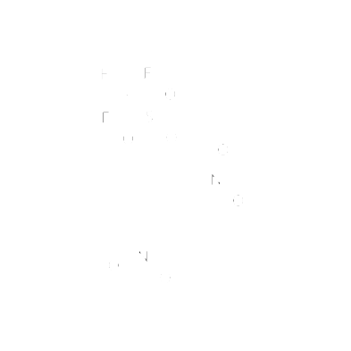 O=[N+]([O-])c1ccc(OS(=O)(=O)C(F)(F)F)c([N+](=O)[O-])c1